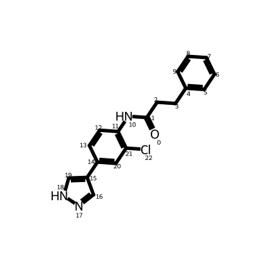 O=C(CCc1ccccc1)Nc1ccc(-c2cn[nH]c2)cc1Cl